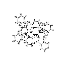 c1ccc2c(c1)Cc1c(C(=C(c3cccc4c3Cc3ccccc3-4)c3cccc4c3Cc3ccccc3-4)c3cccc4c3Cc3ccccc3-4)cccc1-2